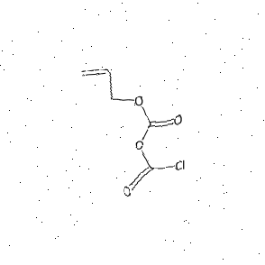 C=CCOC(=O)OC(=O)Cl